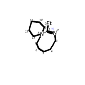 CC/C1=N/CCCCC[N+]12CCCCC2